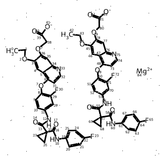 CCOc1cc2c(Oc3ccc(NC(=O)C4(C(=O)Nc5ccc(F)cc5)CC4)cc3F)ccnc2cc1OCC(=O)[O-].CCOc1cc2c(Oc3ccc(NC(=O)C4(C(=O)Nc5ccc(F)cc5)CC4)cc3F)ccnc2cc1OCC(=O)[O-].[Mg+2]